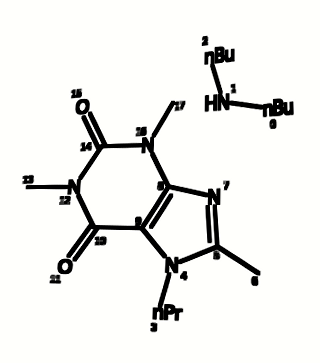 CCCCNCCCC.CCCn1c(C)nc2c1c(=O)n(C)c(=O)n2C